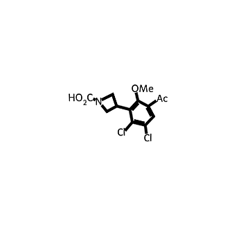 COc1c(C(C)=O)cc(Cl)c(Cl)c1C1CN(C(=O)O)C1